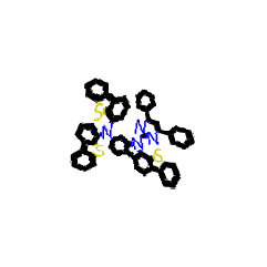 c1ccc(-c2cc(-c3ccccc3)nc(-n3c4cc(N(c5cccc6c5sc5ccccc56)c5cccc6c5sc5ccccc56)ccc4c4ccc5c6ccccc6sc5c43)n2)cc1